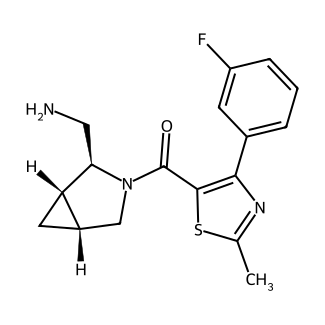 Cc1nc(-c2cccc(F)c2)c(C(=O)N2C[C@@H]3C[C@@H]3[C@H]2CN)s1